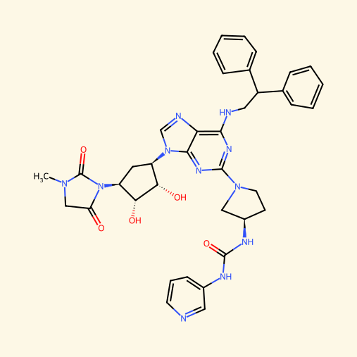 CN1CC(=O)N([C@H]2C[C@@H](n3cnc4c(NCC(c5ccccc5)c5ccccc5)nc(N5CC[C@@H](NC(=O)Nc6cccnc6)C5)nc43)[C@H](O)[C@@H]2O)C1=O